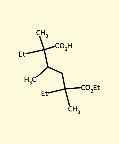 CCOC(=O)C(C)(CC)CC(C)C(C)(CC)C(=O)O